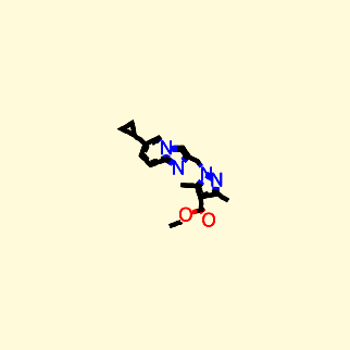 CCOC(=O)c1c(C)nn(Cc2cn3cc(C4CC4)ccc3n2)c1C